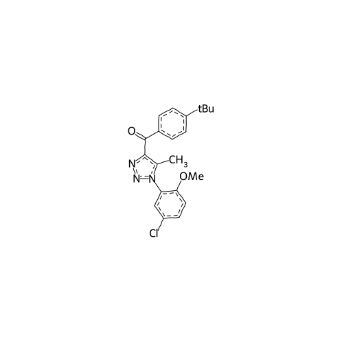 COc1ccc(Cl)cc1-n1nnc(C(=O)c2ccc(C(C)(C)C)cc2)c1C